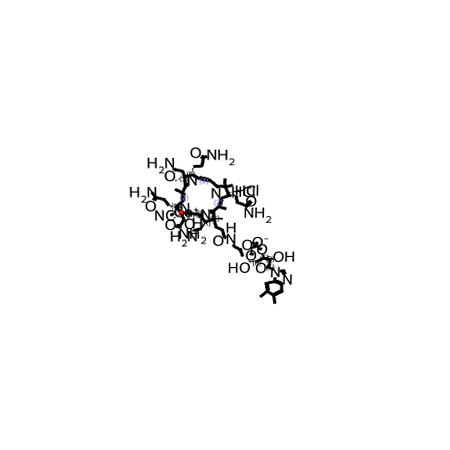 C/C1=C2N=C(/C=C3N=C(/C(C)=C4/[C@@H](CCC(N)=O)[C@](C)(CC(N)=O)[C@](C)([C@@H]5N=C1[C@](C)(CCC(=O)NCC(C)OP(=O)([O-])O[C@H]1[C@@H](O)[C@@H](n6cnc7cc(C)c(C)cc76)O[C@@H]1CO)[C@H]5CC(N)=O)[N]4[Co+][C]#N)[C@@](C)(CC(N)=O)[C@@H]\3CCC(N)=O)C(C)(C)[C@@H]/2CCC(N)=O.Cl.Cl